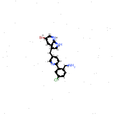 NCc1ccc(Cl)cc1-c1ccc(Cc2c[nH]c3ncc(Br)cc23)cn1